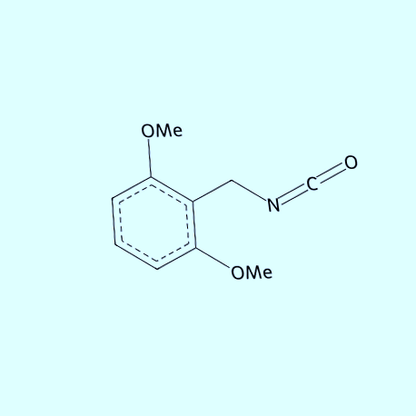 COc1cccc(OC)c1CN=C=O